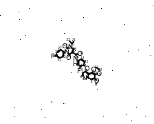 COc1cc2nccc(Oc3ccc(NC(=O)c4cn(C(C)C)c(=O)n(-c5ccc(F)cc5)c4=O)cc3F)c2c2c1OCCO2